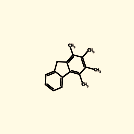 Cc1c(C)c(C)c2c(c1C)Cc1ccccc1-2